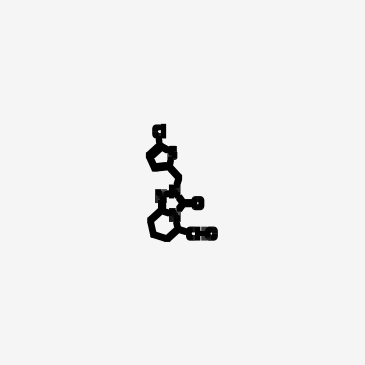 O=CC1CCCc2nn(Cc3ccc(Cl)s3)c(=O)n21